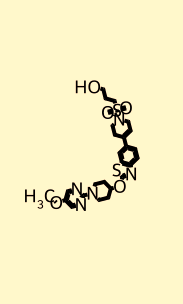 COc1cnc(N2CCC(Oc3nc4ccc(C5=CCN(S(=O)(=O)CCCO)CC5)cc4s3)CC2)nc1